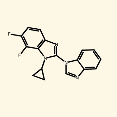 Fc1ccc2nc(-n3cnc4ccccc43)n(C3CC3)c2c1F